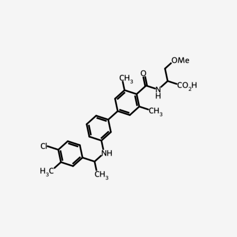 COCC(NC(=O)c1c(C)cc(-c2cccc(NC(C)c3ccc(Cl)c(C)c3)c2)cc1C)C(=O)O